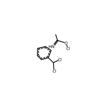 CC(=N)OCl.ClC(Cl)c1ccccc1